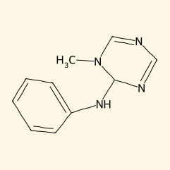 CN1C=NC=NC1Nc1ccccc1